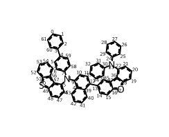 c1ccc(-c2ccc(N(c3ccc(-c4ccc5oc6cccc(N(c7ccccc7)c7ccccc7)c6c5c4)c4ccccc34)c3cccc4sc5ccccc5c34)cc2)cc1